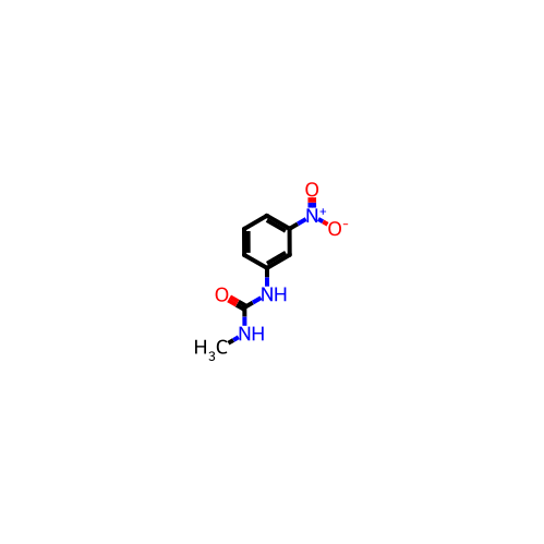 CNC(=O)Nc1cccc([N+](=O)[O-])c1